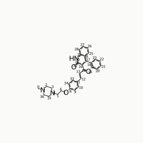 CN1CCN(CCOc2ccc(/C=C/C(=O)c3c(-c4ccccc4)c4ccccc4[nH]c3=O)cc2)CC1